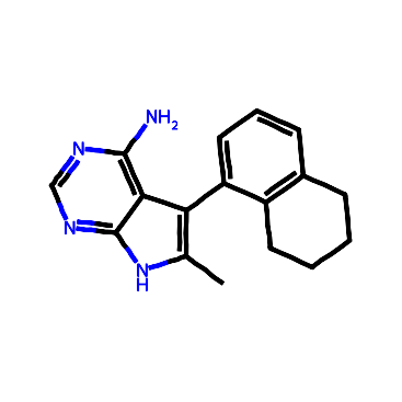 Cc1[nH]c2ncnc(N)c2c1-c1cccc2c1CCCC2